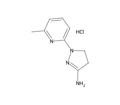 Cc1cccc(N2CCC(N)=N2)n1.Cl